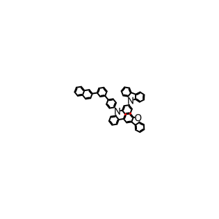 c1cc(-c2ccc(N(c3cccc(-n4c5ccccc5c5ccccc54)c3)c3ccccc3-c3ccc4oc5ccccc5c4c3)cc2)cc(-c2ccc3ccccc3c2)c1